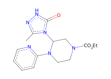 CCOC(=O)N1CCN(c2ccccn2)C(n2c(C)n[nH]c2=O)C1